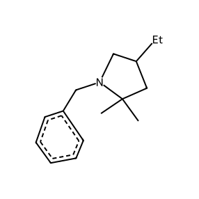 CCC1CN(Cc2ccccc2)C(C)(C)C1